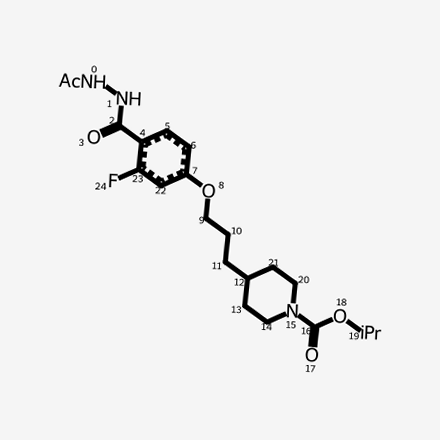 CC(=O)NNC(=O)c1ccc(OCCCC2CCN(C(=O)OC(C)C)CC2)cc1F